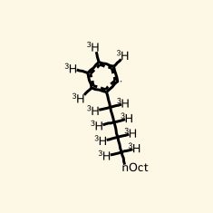 [3H]c1[c]c(C([3H])([3H])C([3H])([3H])C([3H])([3H])C([3H])([3H])CCCCCCCC)c([3H])c([3H])c1[3H]